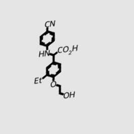 CCc1cc(C(Nc2ccc(C#N)cc2)C(=O)O)ccc1OCCO